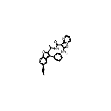 CC#Cc1ccc2oc(C(C)NC(=O)c3c(N)nn4cccnc34)c(-c3ccccc3)c2c1